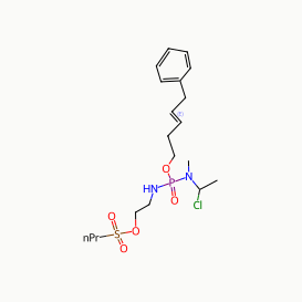 CCCS(=O)(=O)OCCNP(=O)(OCC/C=C/Cc1ccccc1)N(C)C(C)Cl